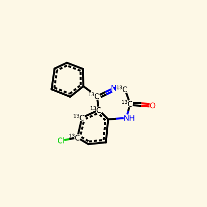 O=[13C]1[13CH2]N=[13C](c2ccccc2)[13c]2[13cH][13c](Cl)ccc2N1